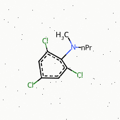 [CH2]CCN(C)c1c(Cl)cc(Cl)cc1Cl